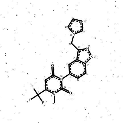 Cn1c(C(F)(F)F)cc(=O)n(-c2ccc3snc(Cn4ccnc4)c3c2)c1=O